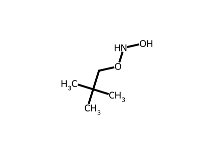 CC(C)(C)CONO